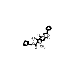 CCc1cc2c(c(N)c(C(=O)OCc3ccccc3)n2C)c(=O)n1CC(=O)c1ccccc1